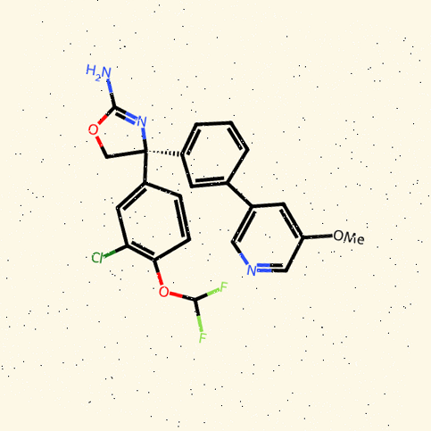 COc1cncc(-c2cccc([C@]3(c4ccc(OC(F)F)c(Cl)c4)COC(N)=N3)c2)c1